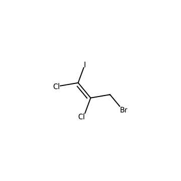 ClC(I)=C(Cl)CBr